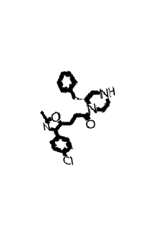 CC1=NC(c2ccc(Cl)cc2)C(CCC(=O)N2CCNC[C@H]2Cc2ccccc2)O1